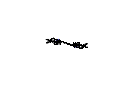 CCN(CC)c1ccc(/C=N/CCCCCCCCCC/N=C/c2ccc(N(CC)CC)cc2O)c(O)c1